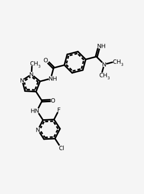 CN(C)C(=N)c1ccc(C(=O)Nc2c(C(=O)Nc3ncc(Cl)cc3F)cnn2C)cc1